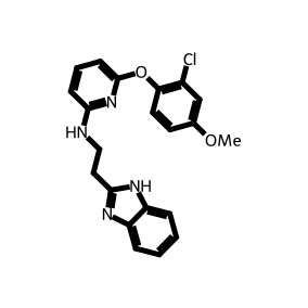 COc1ccc(Oc2cccc(NCCc3nc4ccccc4[nH]3)n2)c(Cl)c1